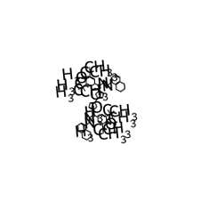 CC(C)(C)C1=CC(C(/N=N/c2cccc3c2CCCC3)c2ccc(-c3ccc(C(/N=N/c4cccc5c4CCCC5)C4C=C(C(C)(C)C)C(=O)C(C(C)(C)C)=C4)o3)o2)C=C(C(C)(C)C)C1=O